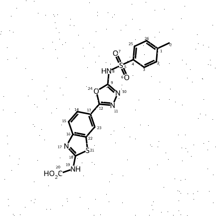 Cc1ccc(S(=O)(=O)Nc2nnc(-c3ccc4nc(NC(=O)O)sc4c3)o2)cc1